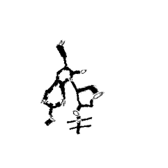 CSc1ncc2cc(C#N)c(=O)n(C3COCC3O[Si](C)(C)C(C)(C)C)c2n1